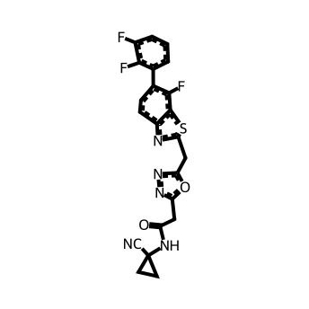 N#CC1(NC(=O)Cc2nnc(Cc3nc4ccc(-c5cccc(F)c5F)c(F)c4s3)o2)CC1